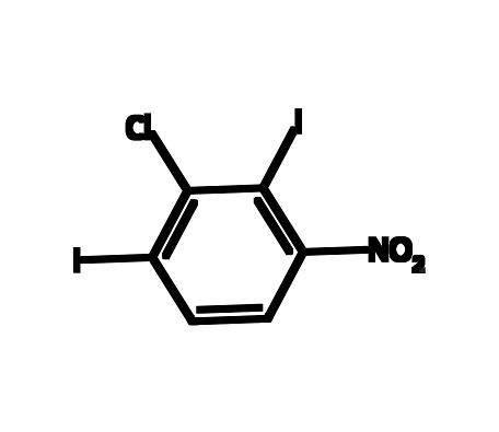 O=[N+]([O-])c1ccc(I)c(Cl)c1I